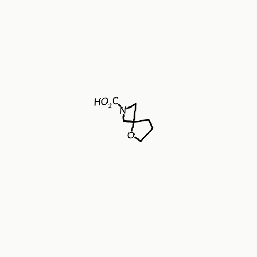 O=C(O)N1CC2(CCCO2)C1